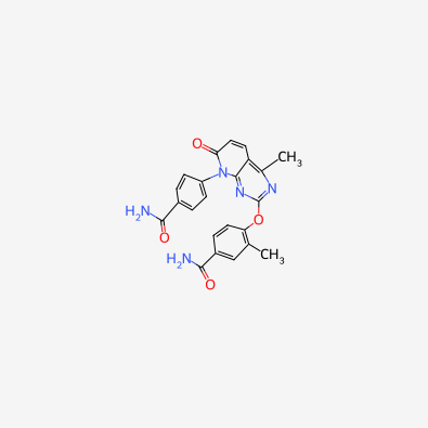 Cc1cc(C(N)=O)ccc1Oc1nc(C)c2ccc(=O)n(-c3ccc(C(N)=O)cc3)c2n1